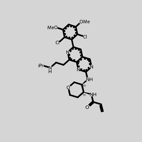 C=CC(=O)N[C@H]1CCOC[C@H]1Nc1ncc2cc(-c3c(Cl)c(OC)cc(OC)c3Cl)nc(CCNC(C)C)c2n1